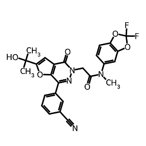 CN(C(=O)Cn1nc(-c2cccc(C#N)c2)c2oc(C(C)(C)O)cc2c1=O)c1ccc2c(c1)OC(F)(F)O2